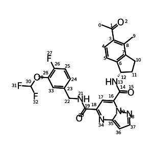 CC(=O)c1ccc2c(c1C)CC[C@@H]2NC(=O)c1cc(C(=O)NCc2ccc(F)c(OC(F)F)c2)nc2ccnn12